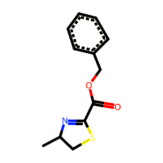 CC1CSC(C(=O)OCc2ccccc2)=N1